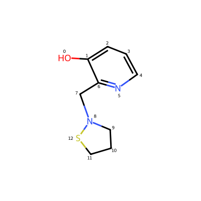 Oc1cccnc1CN1CCCS1